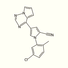 Cc1ccc(Cl)cc1-n1cc(-c2ncnn3cccc23)cc1C#N